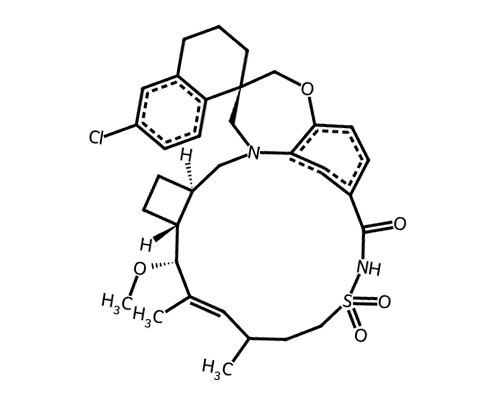 CO[C@H]1/C(C)=C/C(C)CCS(=O)(=O)NC(=O)c2ccc3c(c2)N(C[C@@H]2CC[C@H]21)C[C@@]1(CCCc2cc(Cl)ccc21)CO3